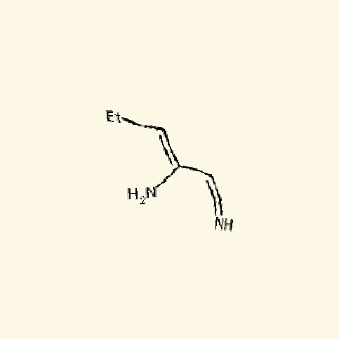 CC/C=C(\N)C=N